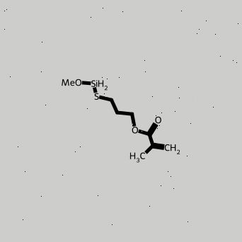 C=C(C)C(=O)OCCCS[SiH2]OC